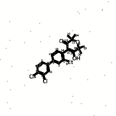 CCc1cc(-c2ccc(Cl)c(Cl)c2)ccc1C1=C(O)C(C)(C)OC(C)(C)C1=O